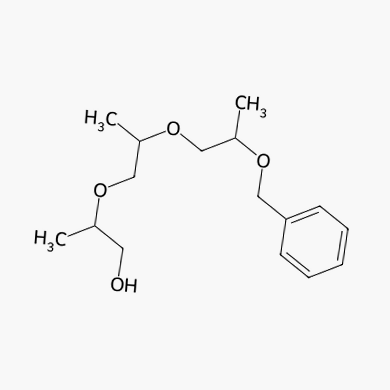 CC(CO)OCC(C)OCC(C)OCc1ccccc1